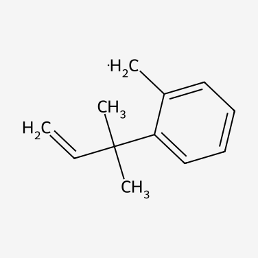 [CH2]c1ccccc1C(C)(C)C=C